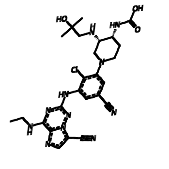 CCNc1nc(Nc2cc(C#N)cc(N3CC[C@@H](NC(=O)O)[C@@H](NCC(C)(C)O)C3)c2Cl)nn2c(C#N)cnc12